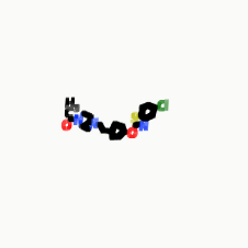 CC(=O)N1CC2CC1CN2CCc1ccc(Oc2nc3cc(Cl)ccc3s2)cc1